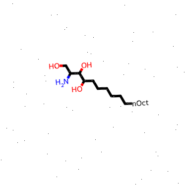 CCCCCCCCCCCCCCC(O)C(O)C(N)CO